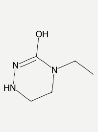 CCN1CCNN=C1O